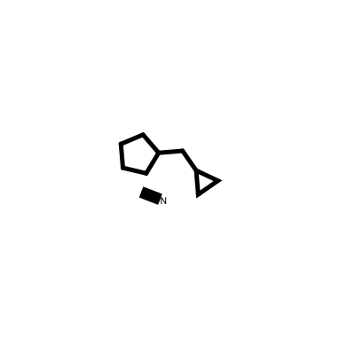 C#N.C1CCC(CC2CC2)C1